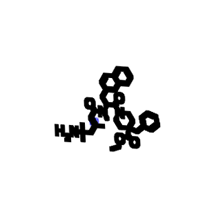 CCOC(=O)C1(Cc2ccccc2)CCN(C(=O)C(Cc2ccc3ccccc3c2)N(C)C(=O)/C=C(\C)CC(C)(C)N)CC1